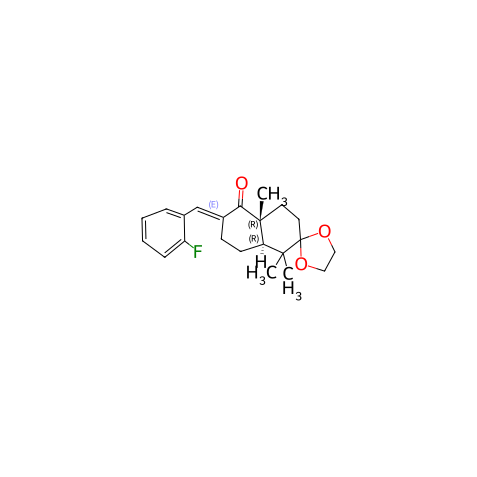 CC1(C)[C@H]2CC/C(=C\c3ccccc3F)C(=O)[C@]2(C)CCC12OCCO2